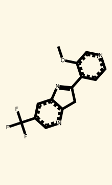 COc1cnccc1C1=Nc2cc(C(F)(F)F)cnc2C1